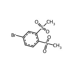 CS(=O)(=O)c1ccc(Br)cc1S(C)(=O)=O